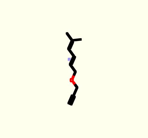 C#CCOC/C=C/C=C(C)C